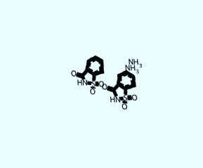 N.N.O=C1NS(=O)(=O)c2ccccc21.O=C1NS(=O)(=O)c2ccccc21